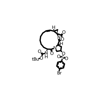 CC(C)(C)OC(=O)N[C@H]1CCCCC/C=C\[C@@H]2C[C@@]23N=C(OC3=O)[C@@H]2CC(OS(=O)(=O)c3ccc(Br)cc3)CN2C1=O